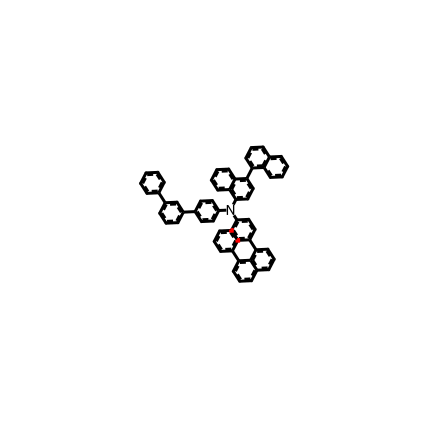 c1ccc(-c2cccc(-c3ccc(N(c4ccc(-c5cccc6cccc(-c7ccccc7)c56)cc4)c4ccc(-c5cccc6ccccc56)c5ccccc45)cc3)c2)cc1